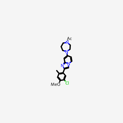 COc1cc(C)c(-c2cn3ccc(N4CCCN(C(C)=O)CC4)cc3n2)cc1Cl